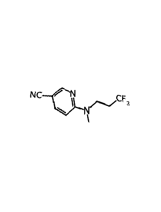 CN(CCC(F)(F)F)c1ccc(C#N)cn1